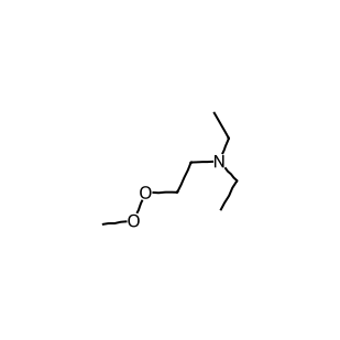 CCN(CC)CCOOC